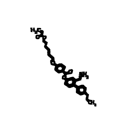 C=CC(=O)OCCCCCCOc1ccc(C(=O)Oc2ccc(-c3ccc(CCC)cc3)c(CN)c2)cc1